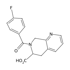 O=C(O)C1Cc2cccnc2CN1C(=O)c1ccc(F)cc1